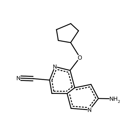 N#Cc1cc2cnc(N)cc2c(OC2CCCC2)n1